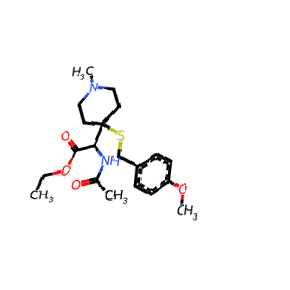 CCOC(=O)C(NC(C)=O)C1(SCc2ccc(OC)cc2)CCN(C)CC1